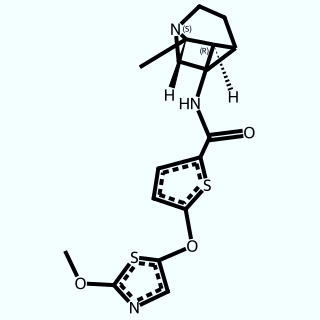 COc1ncc(Oc2ccc(C(=O)N[C@@H]3C4CCN(CC4)[C@H]3C)s2)s1